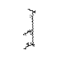 CCCCC(CSC(=O)CCCCCCCCCC(CCCCCCCCCC(=O)SCC(CCC(C)C)C(C)C)OC(=O)CCCN(C)C)C(C)C